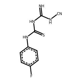 N#CNC(=N)NC(=S)Nc1ccc(F)cc1